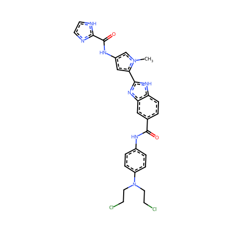 Cn1cc(NC(=O)c2ncc[nH]2)cc1-c1nc2cc(C(=O)Nc3ccc(N(CCCl)CCCl)cc3)ccc2[nH]1